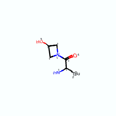 CC(C)(C)C([NH])C(=O)N1CC(O)C1